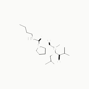 CCCCNC(=S)N1CCC[C@H]1C(=O)N(C)[C@H](CC(C)C)C(=O)C(C)C